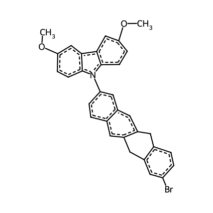 COc1ccc2c(c1)c1cc(OC)ccc1n2-c1ccc2cc3c(cc2c1)Cc1ccc(Br)cc1C3